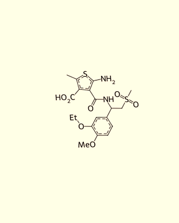 CCOc1cc(C(CS(C)(=O)=O)NC(=O)c2c(N)sc(C)c2C(=O)O)ccc1OC